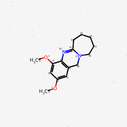 COc1cc2c(c(OC)c1)N=C1CCCCCN1C2